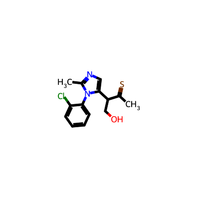 CC(=S)C(CO)c1cnc(C)n1-c1ccccc1Cl